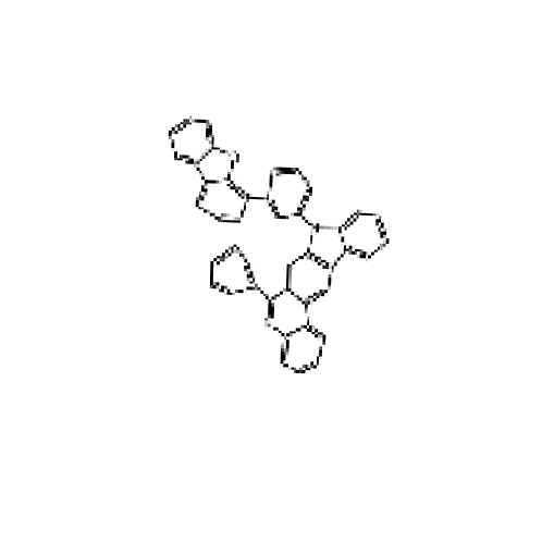 c1ccc(-c2nc3ccccc3c3cc4c5ccccc5n(-c5cccc(-c6cccc7c6oc6ccccc67)c5)c4cc23)cc1